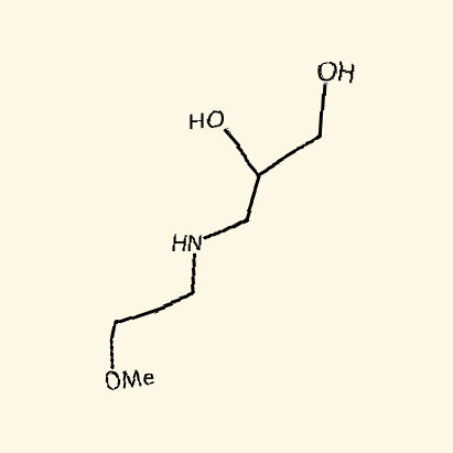 COCCNCC(O)CO